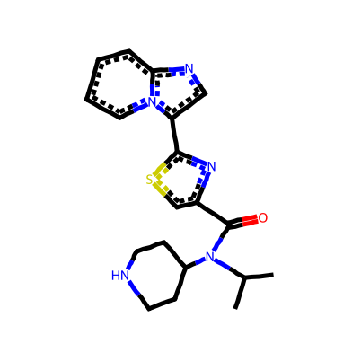 CC(C)N(C(=O)c1csc(-c2cnc3ccccn23)n1)C1CCNCC1